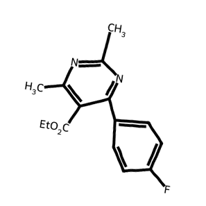 CCOC(=O)c1c(C)nc(C)nc1-c1ccc(F)cc1